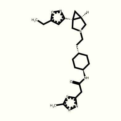 CCc1cc([C@]23C[C@H]2CN(CC[C@H]2CC[C@H](NC(=O)Cc4nnc(C)s4)CC2)C3)no1